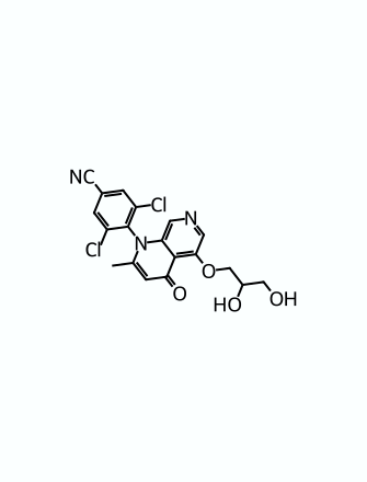 Cc1cc(=O)c2c(OCC(O)CO)cncc2n1-c1c(Cl)cc(C#N)cc1Cl